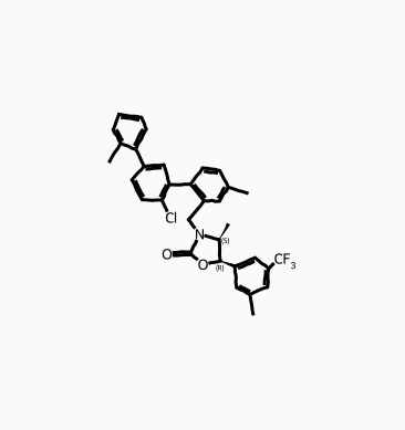 Cc1cc([C@H]2OC(=O)N(Cc3cc(C)ccc3-c3cc(-c4ccccc4C)ccc3Cl)[C@H]2C)cc(C(F)(F)F)c1